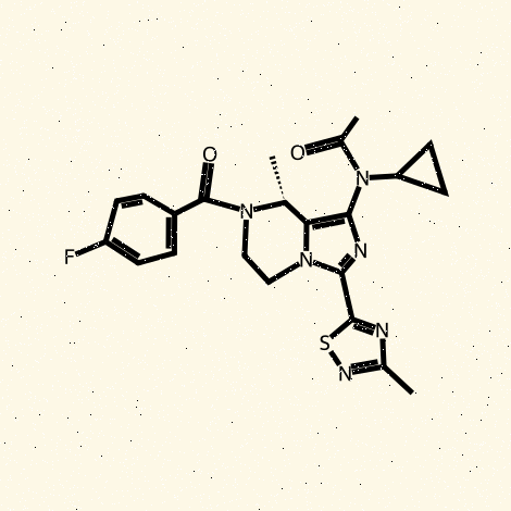 CC(=O)N(c1nc(-c2nc(C)ns2)n2c1[C@@H](C)N(C(=O)c1ccc(F)cc1)CC2)C1CC1